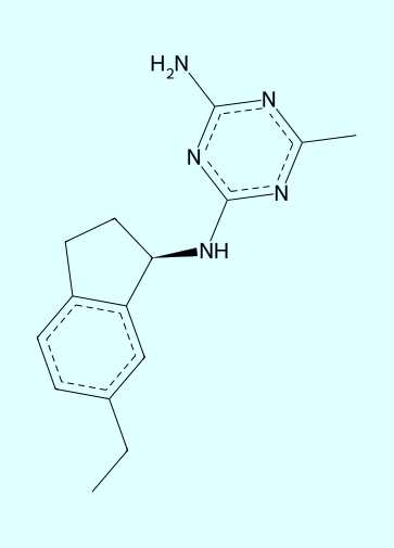 CCc1ccc2c(c1)[C@H](Nc1nc(C)nc(N)n1)CC2